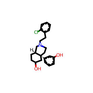 Oc1cccc([C@@]23CCN(CCc4ccccc4Cl)C[C@@H]2CCC(O)C3)c1